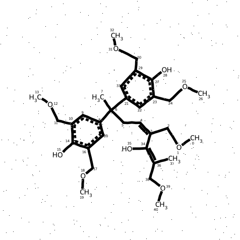 COCC(=C/CC(C)(c1cc(COC)c(O)c(COC)c1)c1cc(COC)c(O)c(COC)c1)/C(O)=C(\C)COC